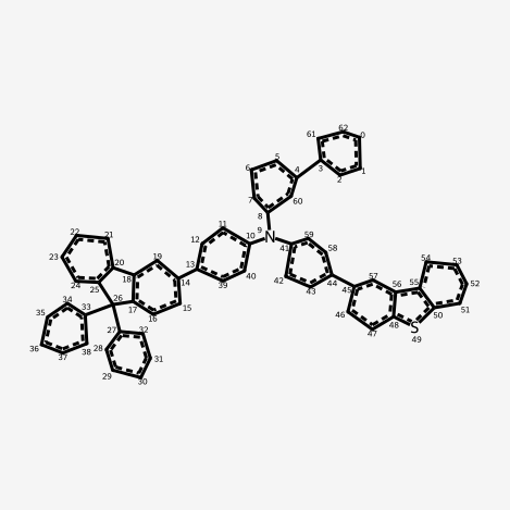 c1ccc(-c2cccc(N(c3ccc(-c4ccc5c(c4)-c4ccccc4C5(c4ccccc4)c4ccccc4)cc3)c3ccc(-c4ccc5sc6ccccc6c5c4)cc3)c2)cc1